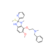 COc1ccc2c(c1OCCN(C)Cc1ccccc1)N(C)C(SC)(c1ccccn1)N2